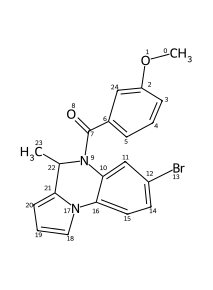 COc1cccc(C(=O)N2c3cc(Br)ccc3-n3cccc3C2C)c1